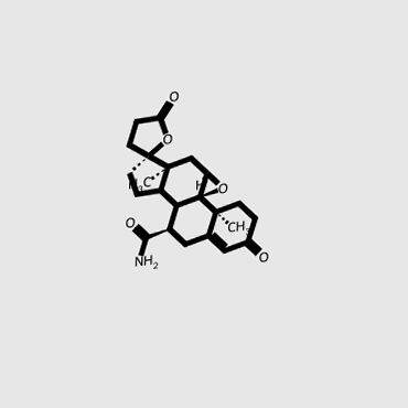 C[C@]12CCC(=O)C=C1C[C@@H](C(N)=O)C1C3CC[C@@]4(CCC(=O)O4)[C@@]3(C)C[C@H]3O[C@@]132